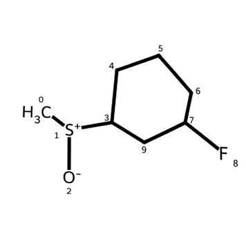 C[S+]([O-])C1CCCC(F)C1